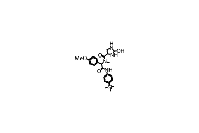 COc1ccc(C(C(=O)Nc2ccc([Si](C)(C)C)cc2)N(C)C(=O)C2CNC(O)N2)cc1